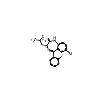 CC(C)C[C@@H]1N=C(c2ccccc2F)c2cc(Cl)ccc2NC1=O